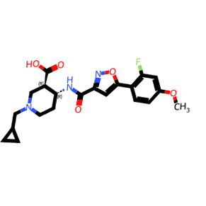 COc1ccc(-c2cc(C(=O)N[C@@H]3CCN(CC4CC4)C[C@H]3C(=O)O)no2)c(F)c1